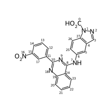 O=C(O)n1ncc2cc(Nc3nc(-c4cccc([N+](=O)[O-])c4)nc4ccccc34)ccc21